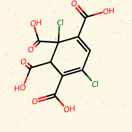 O=C(O)C1=CC(Cl)=C(C(=O)O)C(C(=O)O)C1(Cl)C(=O)O